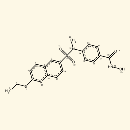 CCSc1ccc2cc(S(=O)(=O)N(C)c3ccc(C(=O)NO)cc3)ccc2n1